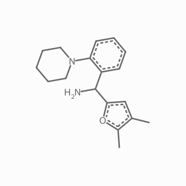 Cc1cc(C(N)c2ccccc2N2CCCCC2)oc1C